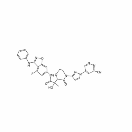 CC(O)(C(=O)Nc1cc(F)c2c(Nc3ccccc3)noc2c1)C1OCCN(c2ccn(-c3cnnc(C#N)c3)n2)C1=O